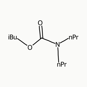 CCCN(CCC)C(=O)OC(C)CC